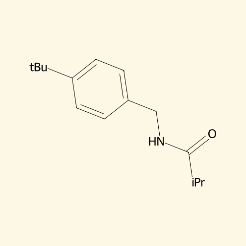 CC(C)C(=O)NCc1ccc(C(C)(C)C)cc1